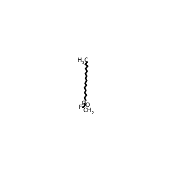 C=C(F)C(=O)OCCCCCCCCCCCCCCCCCC